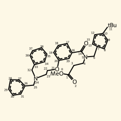 COC(=O)CCN(Cc1ccc(C(C)(C)C)cc1)C(=O)c1cccc(OCCN(Cc2ccccc2)Cc2ccccc2)c1